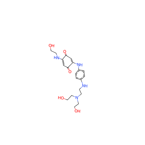 O=C1C=C(Nc2ccc(NCCN(CCO)CCO)cc2)C(=O)C=C1NCCO